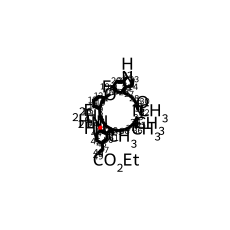 [2H]C([2H])([2H])n1nc2nc1-c1cc(ccc1F)Oc1c(F)cc3[nH]ccc3c1CCC(=O)N(C)CC(C)(C)CCCC2(C)c1cccc(CCC(=O)OCC)c1